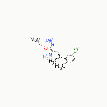 CNCCO/C(N=N)=C(N)/C=C(\C)c1cc(Cl)ccc1C